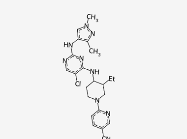 CCC1CN(c2ccc(C#N)cn2)CCC1Nc1nc(Nc2cn(C)nc2C)ncc1Cl